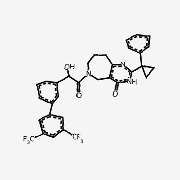 O=C(C(O)c1cccc(-c2cc(C(F)(F)F)cc(C(F)(F)F)c2)c1)N1CCCc2nc(C3(c4ccccc4)CC3)[nH]c(=O)c2C1